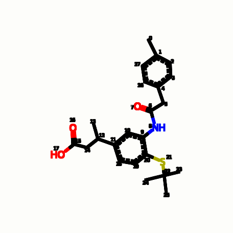 Cc1ccc(CC(=O)Nc2cc(C(C)CC(=O)O)ccc2SC(C)(C)C)cc1